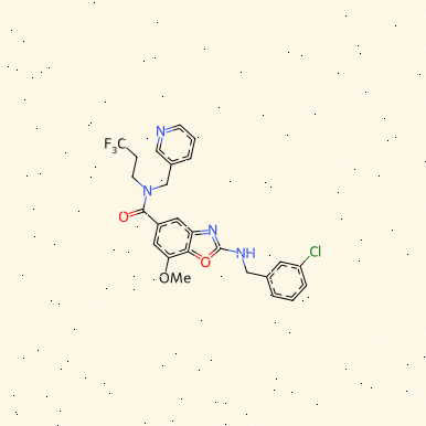 COc1cc(C(=O)N(CCC(F)(F)F)Cc2cccnc2)cc2nc(NCc3cccc(Cl)c3)oc12